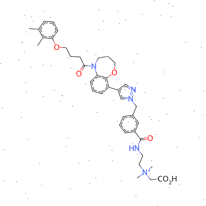 Cc1cccc(OCCCC(=O)N2CCCOc3c(-c4cnn(Cc5cccc(C(=O)NCC[N+](C)(C)CC(=O)O)c5)c4)cccc32)c1C